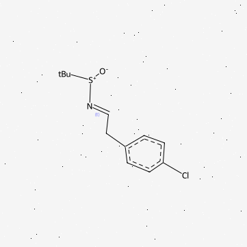 CC(C)(C)[S+]([O-])/N=C/Cc1ccc(Cl)cc1